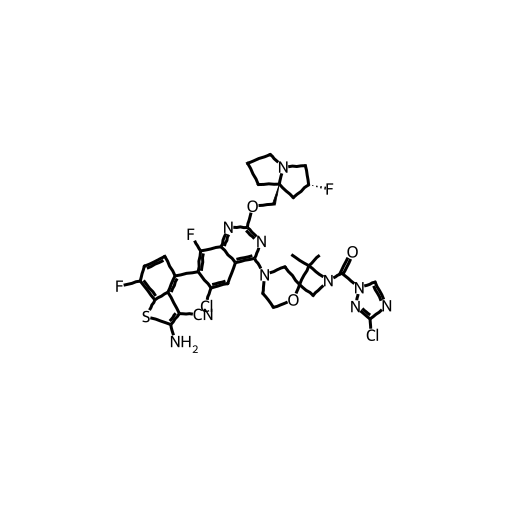 CC1(C)N(C(=O)n2cnc(Cl)n2)CC12CN(c1nc(OC[C@@]34CCCN3C[C@H](F)C4)nc3c(F)c(-c4ccc(F)c5sc(N)c(C#N)c45)c(Cl)cc13)CCO2